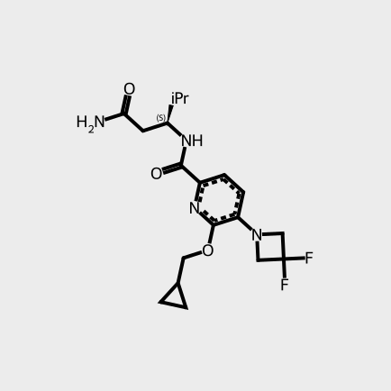 CC(C)[C@H](CC(N)=O)NC(=O)c1ccc(N2CC(F)(F)C2)c(OCC2CC2)n1